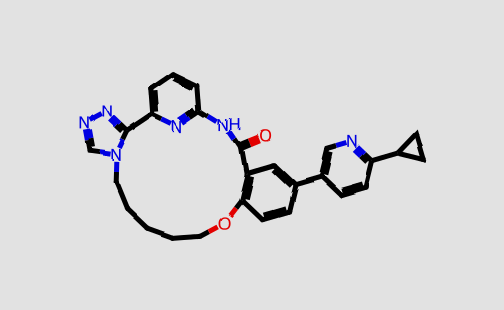 O=C1Nc2cccc(n2)-c2nncn2CCCCCOc2ccc(-c3ccc(C4CC4)nc3)cc21